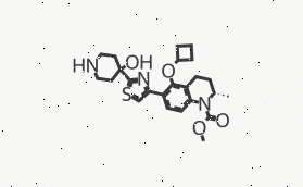 COC(=O)N1c2ccc(-c3csc(C4(O)CCNCC4)n3)c(OC3CCC3)c2CC[C@@H]1C